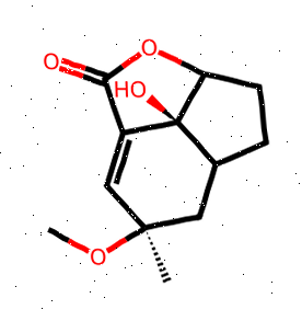 CO[C@@]1(C)C=C2C(=O)OC3CCC(C1)[C@]23O